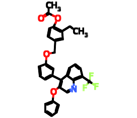 CCc1cc(COc2cccc(-c3c(Oc4ccccc4)cnc4c(C(F)(F)F)cccc34)c2)ccc1OC(C)=O